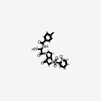 CCCC(NC(=O)c1ccc(C)cc1)C(=O)N1CCC2C1C(=O)CN2S(=O)(=O)c1cccc[n+]1[O-]